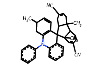 CC1C=CC2=C(C1)N(c1ccccc1)c1ccccc1C21C2CC(C#N)=CCC2(C)C2C=CC(C#N)=CC21C